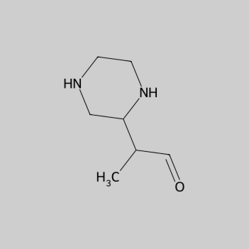 CC(C=O)C1CNCCN1